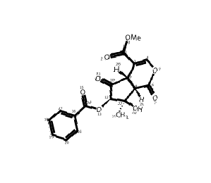 COC(=O)C1=COC(=O)[C@H]2[C@@H]1C(=O)[C@H](OC(=O)c1ccccc1)[C@]2(C)O